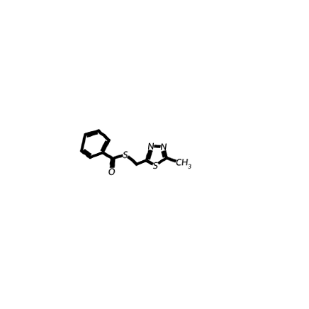 Cc1nnc(CSC(=O)c2ccccc2)s1